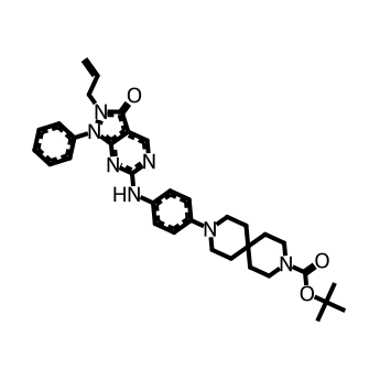 C=CCn1c(=O)c2cnc(Nc3ccc(N4CCC5(CCN(C(=O)OC(C)(C)C)CC5)CC4)cc3)nc2n1-c1ccccc1